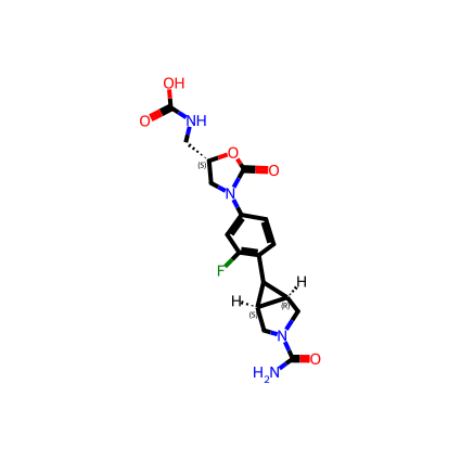 NC(=O)N1C[C@@H]2C(c3ccc(N4C[C@H](CNC(=O)O)OC4=O)cc3F)[C@@H]2C1